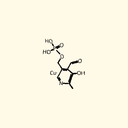 Cc1ncc(COP(=O)(O)O)c(C=O)c1O.[Cu]